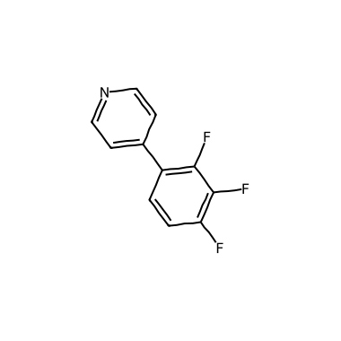 Fc1ccc(-c2ccncc2)c(F)c1F